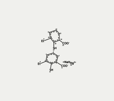 CCc1cccc(C(=O)[O-])c1S.CCc1cccc(C(=O)[O-])c1S.[Hg+2].[NaH]